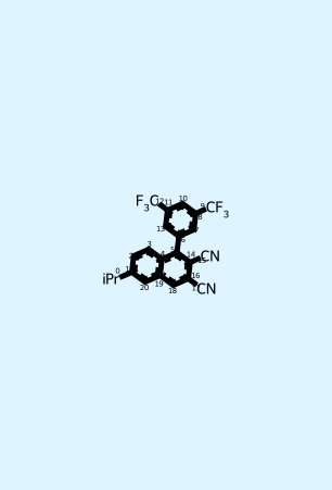 CC(C)c1ccc2c(-c3cc(C(F)(F)F)cc(C(F)(F)F)c3)c(C#N)c(C#N)cc2c1